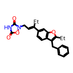 CCC(=CCn1oc(=O)[nH]c1=O)c1ccc2c(Cc3ccccc3)c(CC)oc2c1